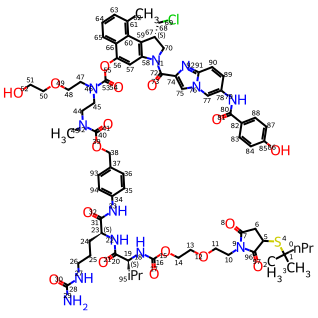 CCCC(C)(C)SC1CC(=O)N(CCOCCOC(=O)N[C@H](C(=O)N[C@@H](CCCNC(N)=O)C(=O)Nc2ccc(COC(=O)N(C)CCN(CCOCCO)C(=O)Oc3cc4c(c5c(C)cccc35)[C@H](CCl)CN4C(=O)c3cn4cc(NC(=O)c5ccc(O)cc5)ccc4n3)cc2)C(C)C)C1=O